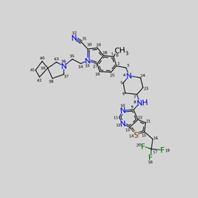 Cc1c(CN2CCC(Nc3ncnc4sc(CC(F)(F)F)cc34)CC2)ccc2c1cc(C#N)n2CCN1CCC2(CCC2)C1